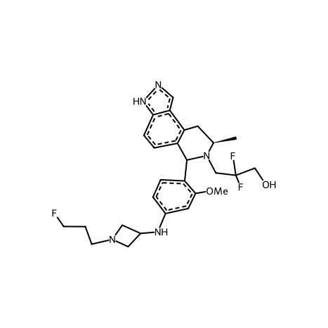 COc1cc(NC2CN(CCCF)C2)ccc1C1c2ccc3[nH]ncc3c2C[C@@H](C)N1CC(F)(F)CO